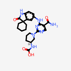 NC(=O)c1cnc(N2CCC[C@H](NC(=O)O)C2)nc1Nc1ccc2c(c1)C1(CCCCC1)C(=O)N2